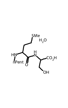 CCCCCNC(CCSC)C(=O)NC(CO)C(=O)O.O